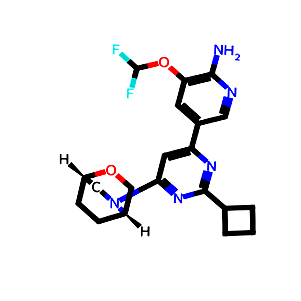 Nc1ncc(-c2cc(N3C[C@@H]4CC[C@H]3CO4)nc(C3CCC3)n2)cc1OC(F)F